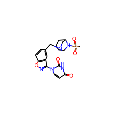 CS(=O)(=O)N1CC2CCC1CN2Cc1ccc2onc(-n3ccc(=O)[nH]c3=O)c2c1